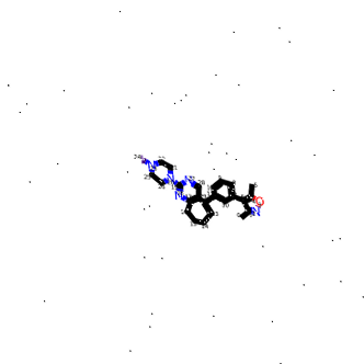 Cc1noc(C)c1-c1cccc(C2=CCCCc3nc(N4CCN(I)CC4)ncc32)c1